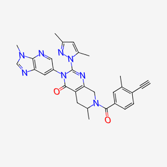 C#Cc1ccc(C(=O)N2Cc3nc(-n4nc(C)cc4C)n(-c4cnc5c(c4)ncn5C)c(=O)c3CC2C)cc1C